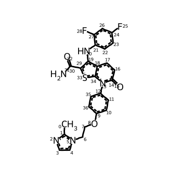 Cc1nccn1CCOc1ccc(-n2c(=O)ccc3c(Nc4ccc(F)cc4F)c(C(N)=O)sc32)cc1